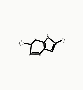 CCc1cc2c(s1)CC(C)C=C2